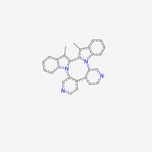 Cc1c2ccccc2n2c3cnccc3c3ccncc3n3c4ccccc4c(C)c3c12